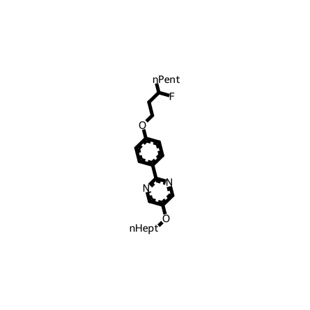 CCCCCCCOc1cnc(-c2ccc(OCCC(F)CCCCC)cc2)nc1